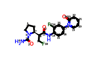 NC(=O)N1C[CH]C[C@H]1C(CF)C(=O)Nc1ccc(-n2ccccc2=O)cc1F